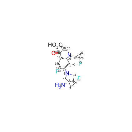 Cc1c(N2C[C@]3(N)CC[C@]3(F)C2)c(F)cc2c(=O)c(C(=O)O)cn([C@@H]3C[C@@H]3F)c12